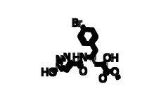 COC(=O)[C@H](O)C[C@@H](CC1=CCC(Br)C=C1)NC(=O)c1cn(O)nn1